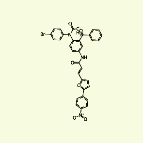 CC(=O)N(c1ccc(Br)cc1)c1ccc(NC(=O)C=Cc2ccc(-c3ccc([N+](=O)[O-])cc3)o2)cc1C(=O)c1ccccc1